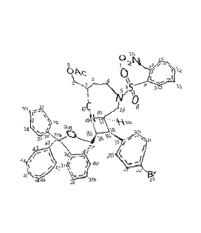 CC(=O)OCC1CCN(S(=O)(=O)c2ccccc2[N+](=O)[O-])C[C@H]2[C@@H](c3ccc(Br)cc3)[C@@H](COC(c3ccccc3)(c3ccccc3)c3ccccc3)N2C1